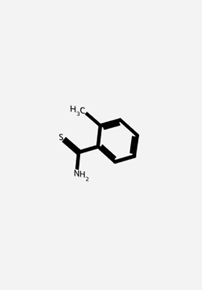 Cc1ccccc1C(N)=S